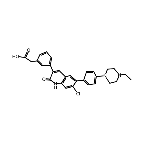 CCN1CCN(c2ccc(-c3cc4cc(-c5cccc(CC(=O)O)c5)c(=O)[nH]c4cc3Cl)cc2)CC1